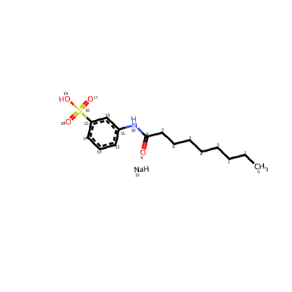 CCCCCCCCC(=O)Nc1cccc(S(=O)(=O)O)c1.[NaH]